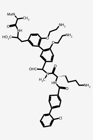 CN[C@@H](C)C(=O)NC(Cc1ccc(OCCN)c(-c2cc(C(C=O)N(C)C(=O)[C@H](CCCCN)NC(=O)c3ccc(-c4ccccc4Cl)cc3)ccc2OCCN)c1)C(=O)O